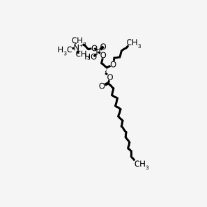 CCCCCCCCCCCCCCCC(=O)OC[C@H](COP(=O)(O)OCC[N+](C)(C)C)OCCCCC